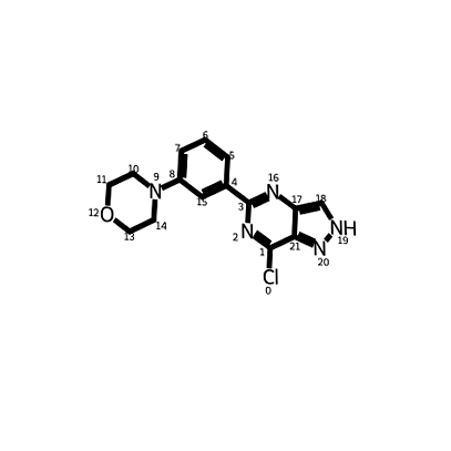 Clc1nc(-c2cccc(N3CCOCC3)c2)nc2c[nH]nc12